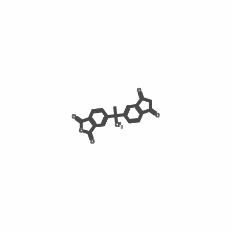 CC(c1ccc2c(c1)C(=O)CC2=O)(c1ccc2c(c1)C(=O)OC2=O)C(F)(F)F